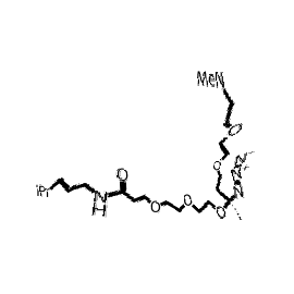 CNCCOCCOCC[C@@](C)(N=[N+]=[N-])OCCOCCOCCC(=O)NC/C=C/C(C)C